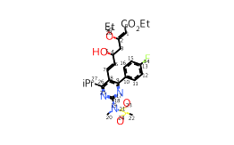 CCOC(=O)C=C(CC(O)C=Cc1c(-c2ccc(F)cc2)nc(N(C)S(C)(=O)=O)nc1C(C)C)OCC